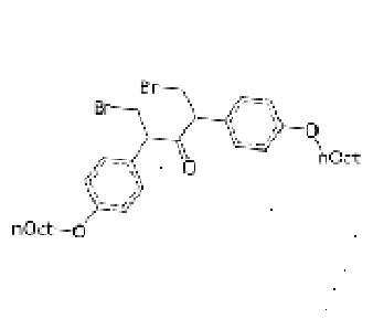 CCCCCCCCOc1ccc(C(CBr)C(=O)C(CBr)c2ccc(OCCCCCCCC)cc2)cc1